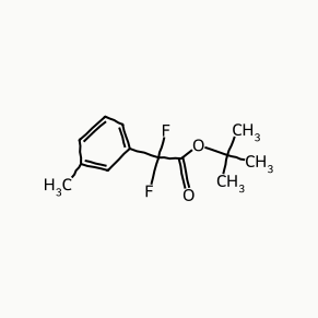 Cc1cccc(C(F)(F)C(=O)OC(C)(C)C)c1